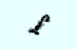 Cc1ccc(-c2cc(C(F)(F)F)nn2-c2ccc(S(=O)(=O)NC(=O)CCC(=O)OC3CN(n4on4OC(C)OC(=O)C(C)(C)C)C3)cc2)cc1